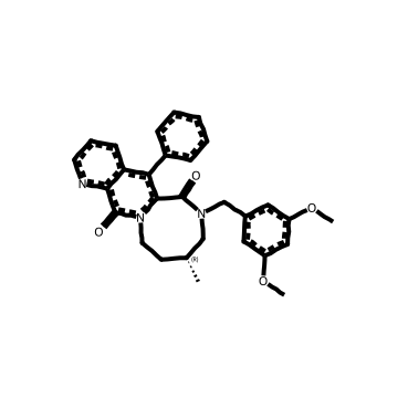 COc1cc(CN2C[C@H](C)CCn3c(c(-c4ccccc4)c4cccnc4c3=O)C2=O)cc(OC)c1